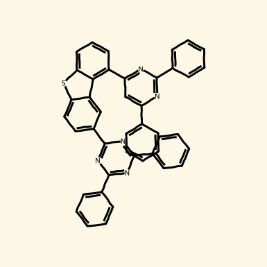 c1ccc(-c2cc(-c3cccc4sc5ccc(-c6nc(-c7ccccc7)nc(-c7ccccc7)n6)cc5c34)nc(-c3ccccc3)n2)cc1